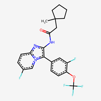 CC1(CC(=O)Nc2nc3ccc(F)cn3c2-c2ccc(OC(F)(F)F)c(F)c2)CCCC1